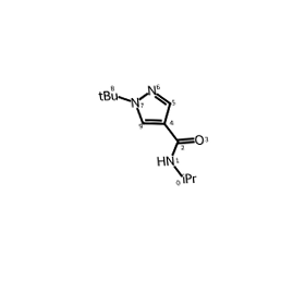 CC(C)NC(=O)c1cnn(C(C)(C)C)c1